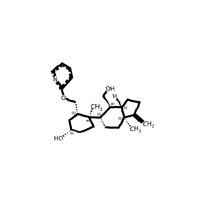 C=C1CC[C@H]2[C@H](CO)[C@@H]([C@@]3(C)CC[C@H](O)C[C@@H]3COc3ccccn3)CC[C@]12C